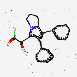 O=C(Cl)C(=O)c1c(-c2ccccc2)c(-c2ccccc2)c2n1CCC2